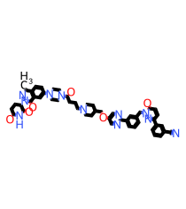 Cc1nn(C2CCC(=O)NC2=O)c(=O)c2cc(N3CCN(C(=O)CCCN4CCC(COc5cnc(-c6cccc(Cn7nc(-c8cccc(C#N)c8)ccc7=O)c6)nc5)CC4)CC3)ccc12